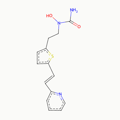 NC(=O)N(O)CCc1ccc(C=Cc2ccccn2)s1